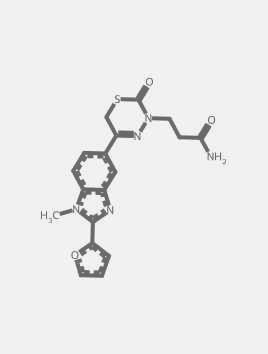 Cn1c(-c2ccco2)nc2cc(C3=NN(CCC(N)=O)C(=O)SC3)ccc21